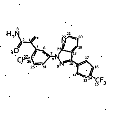 C=C(C(N)=O)c1cc(-n2nc(-c3ccc(C(F)(F)F)cc3)c3cccnc32)ccc1Cl